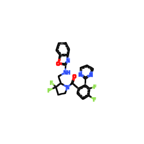 O=C(c1ccc(F)c(F)c1-c1ncccn1)N1CCC(F)(F)C1CNc1nc2ccccc2o1